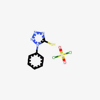 O=S(=O)(Cl)Cl.Sc1nnnn1-c1ccccc1